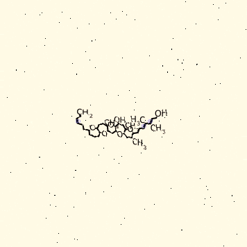 C=C/C=C\CCC1CCCC2OC3CC4OC5CC(C)C(CC/C=C(C)/C(C)=C/CO)OC5(C)CC(O)C4OC3(C)CCC2O1